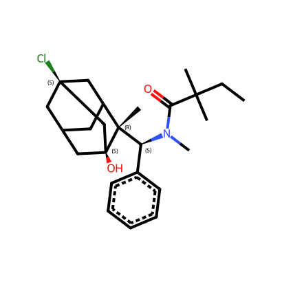 CCC(C)(C)C(=O)N(C)[C@@H](c1ccccc1)[C@@]1(C)C2CC3C[C@](Cl)(C2)C[C@@]1(O)C3